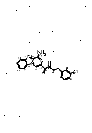 C=C(NCCc1cccc(Cl)c1)c1cn2c(nc3ccccc32)c(N)n1